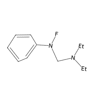 CCN(CC)CN(F)c1ccccc1